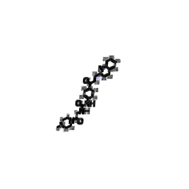 CN1CCN(C(=O)CNC(=O)Nc2ccc(C(=O)/C=C/c3ccc4ccccc4n3)cc2)CC1